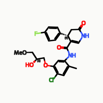 COC[C@H](O)COc1cc(NC(=O)C2=CNC(=O)C[C@H]2c2ccc(F)cc2)c(C)cc1Cl